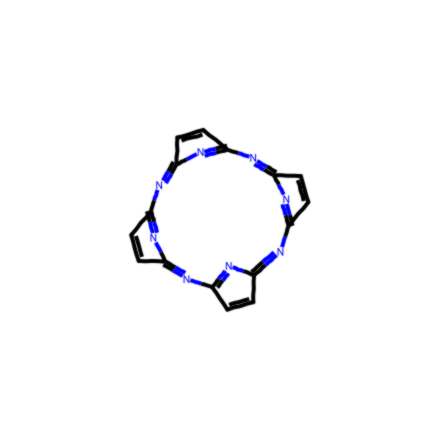 C1=CC2=NC3=NC(=NC4=NC(=NC5=NC(=NC1=N2)C=C5)C=C4)C=C3